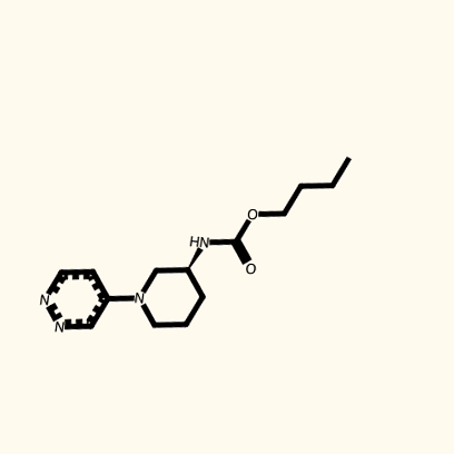 CCCCOC(=O)N[C@H]1CCCN(c2ccnnc2)C1